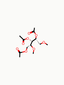 COC[C@@H](OC(C)=O)[C@@H](OC(C)=O)[C@@H](COC(C)=O)OC